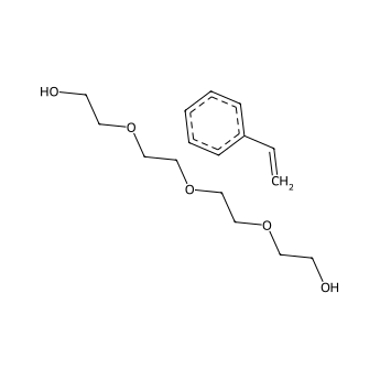 C=Cc1ccccc1.OCCOCCOCCOCCO